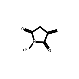 C=C1CC(=O)N(CCC)C1=O